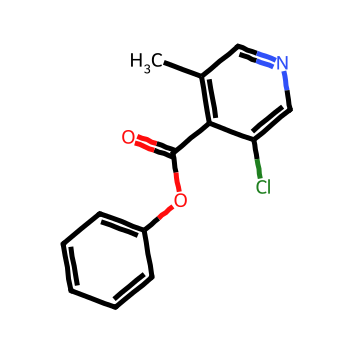 Cc1cncc(Cl)c1C(=O)Oc1ccccc1